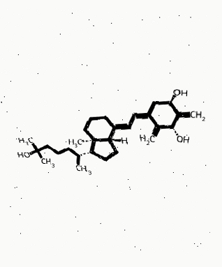 C=C1/C(=C\C=C2/CCC[C@]3(C)[C@@H](C(C)CCCC(C)(C)O)CC[C@@H]23)C[C@@H](O)C(=C)[C@@H]1O